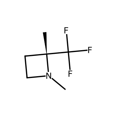 CN1CC[C@]1(C)C(F)(F)F